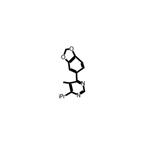 Cc1c(-c2ccc3c(c2)OCO3)ncnc1C(C)C